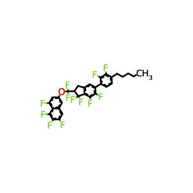 CCCCCc1ccc(-c2cc3c(c(F)c2F)C(F)(F)C(C(F)(F)Oc2cc(F)c4c(F)c(F)c(F)cc4c2)C3)c(F)c1F